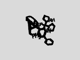 PCC1C2CC3CC(C2)CC1(c1ccc(-c2ccccc2)cc1C(P)(C1CCCN1)C1CCCN1)C3